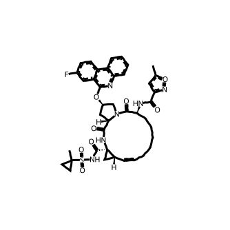 Cc1cc(C(=O)N[C@H]2CCCCC/C=C\[C@@H]3C[C@@]3(C(=O)NS(=O)(=O)C3(C)CC3)NC(=O)[C@@H]3C[C@@H](Oc4nc5ccccc5c5ccc(F)cc45)CN3C2=O)no1